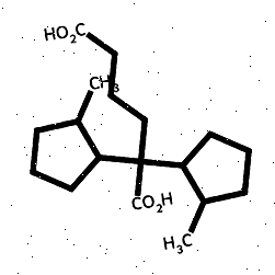 CC1CCCC1C(CCCC(=O)O)(C(=O)O)C1CCCC1C